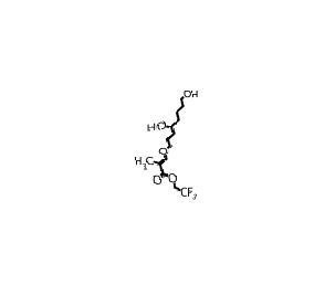 CC(COCCCC(O)CCCCO)C(=O)OCC(F)(F)F